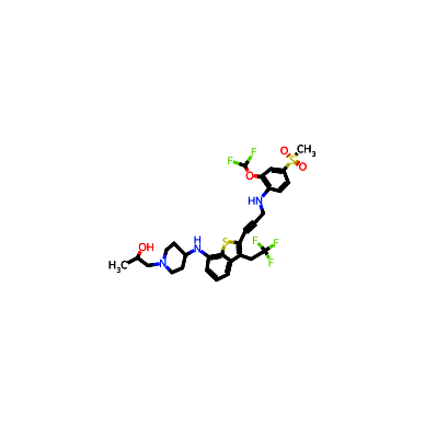 CC(O)CN1CCC(Nc2cccc3c(CC(F)(F)F)c(C#CCNc4ccc(S(C)(=O)=O)cc4OC(F)F)sc23)CC1